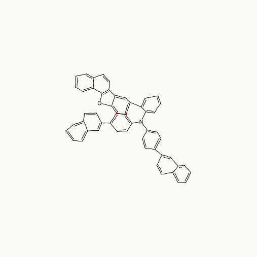 c1ccc(N(c2ccc(-c3ccc4ccccc4c3)cc2)c2ccc(-c3ccc4ccccc4c3)cc2)c(-c2ccc3oc4c5ccccc5ccc4c3c2)c1